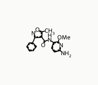 COc1nc(N)ccc1NC(=O)c1c(-c2ccccc2)noc1C